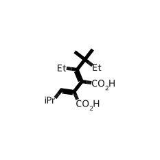 CCC(=C(C(=O)O)C(=CC(C)C)C(=O)O)C(C)(C)CC